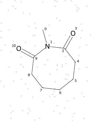 CN1C(=O)CCCCCC1=O